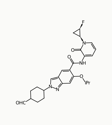 CC(C)Oc1cc2nn(C3CCC(C=O)CC3)cc2cc1C(=O)Nc1cccn([C@H]2C[C@H]2F)c1=O